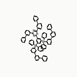 c1ccc(-c2cccc(-c3cccc([Si](c4ccccc4)(c4ccccc4)c4cc(-c5nc(-c6cccc(-c7ccccc7)c6)nc(-c6cccc(-c7ccccc7)c6)n5)cc([Si](c5ccccc5)(c5ccccc5)c5cccc(-c6cccc(-c7ccccc7)c6)c5)c4)c3)c2)cc1